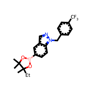 CCC1(C)OB(c2ccc3c(cnn3Cc3ccc(C(F)(F)F)cc3)c2)OC1(C)C